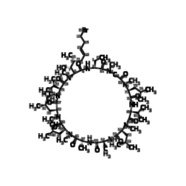 CC[C@@H]1NC(=O)[C@H]([C@H](O)[C@H](C)C/C=C/CCBr)N(C)C(=O)[C@H](C(C)C)N(C)C(=O)[C@H](CC(C)C)N(C)C(=O)[C@H](CC(C)C)N(C)C(=O)[C@@H](C)NC(=O)[C@H](C)NC(=O)[C@H](CC(C)C)N(C)C(=O)[C@H](C(C)C)NC(=O)[C@H](CC(C)C)N(C)C(=O)CN(C)C1=O